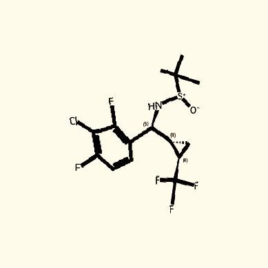 CC(C)(C)[S+]([O-])N[C@H](c1ccc(F)c(Cl)c1F)[C@@H]1C[C@H]1C(F)(F)F